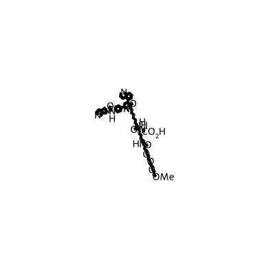 COCCOCCOCCOCCC(=O)NCCCC[C@H](NC(=O)O)C(=O)NCCCCCCN1N=C(c2ccc(NC(=O)N3Cc4ccncc4C3)cc2)CC(c2cccc3ncccc23)C1=O